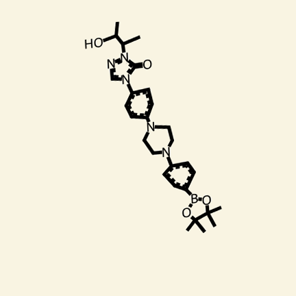 CC(O)C(C)n1ncn(-c2ccc(N3CCN(c4ccc(B5OC(C)(C)C(C)(C)O5)cc4)CC3)cc2)c1=O